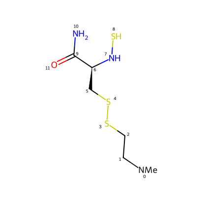 CNCCSSC[C@H](NS)C(N)=O